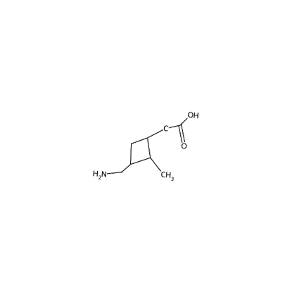 CC1C(CN)CC1CC(=O)O